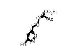 CCOC(=O)C(=NOCc1cc(CC)no1)C(C)=O